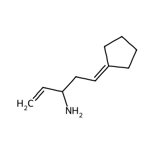 C=CC(N)CC=C1CCCC1